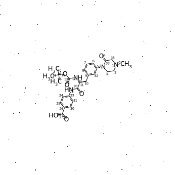 CN1CCN(c2cccc(C[C@H](NC(=O)OC(C)(C)C)C(=O)Nc3ccc(C(=O)O)cc3)c2)C(=O)C1